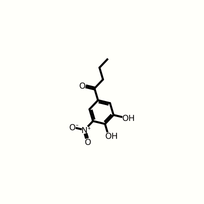 CCCC(=O)c1cc(O)c(O)c([N+](=O)[O-])c1